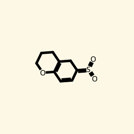 O=S(=O)=C1C=CC2=C(CCCO2)C1